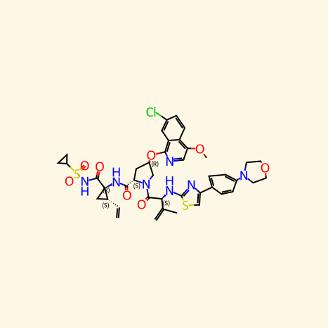 C=C[C@@H]1C[C@]1(NC(=O)[C@@H]1C[C@@H](Oc2ncc(OC)c3ccc(Cl)cc23)CN1C(=O)[C@@H](Nc1nc(-c2ccc(N3CCOCC3)cc2)cs1)C(=C)C)C(=O)NS(=O)(=O)C1CC1